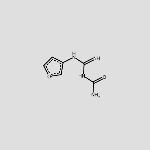 N=C(NC(N)=O)Nc1ccoc1